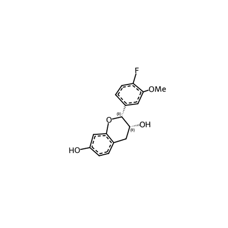 COc1cc([C@H]2Oc3cc(O)ccc3C[C@H]2O)ccc1F